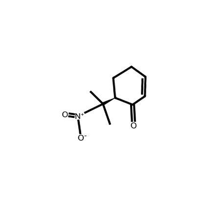 CC(C)([C@H]1CCC=CC1=O)[N+](=O)[O-]